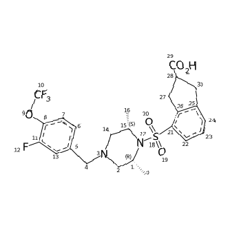 C[C@@H]1CN(Cc2ccc(OC(F)(F)F)c(F)c2)C[C@H](C)N1S(=O)(=O)c1cccc2c1CC(C(=O)O)C2